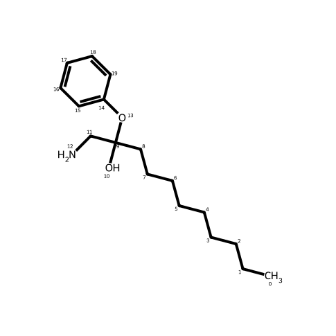 CCCCCCCCCC(O)(CN)Oc1ccccc1